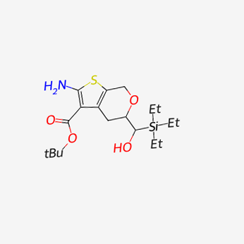 CC[Si](CC)(CC)C(O)C1Cc2c(sc(N)c2C(=O)OC(C)(C)C)CO1